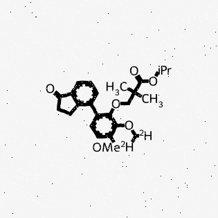 [2H]C([2H])Oc1c(OC)ccc(-c2cccc3c2CCC3=O)c1OCC(C)(C)C(=O)OC(C)C